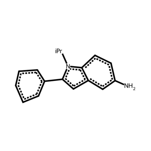 CC(C)n1c(-c2ccccc2)cc2cc(N)ccc21